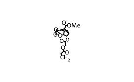 C=CC(=O)OCC(=O)OC1C2CC3C1OS(=O)(=O)C3C2C(=O)OC